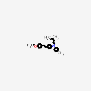 C=C/C(C)=C\C=C\N(c1ccc(C)cc1)c1ccc(/C=C/c2ccc(OCC)cc2)cc1